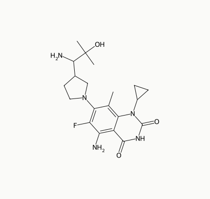 Cc1c(N2CCC(C(N)C(C)(C)O)C2)c(F)c(N)c2c(=O)[nH]c(=O)n(C3CC3)c12